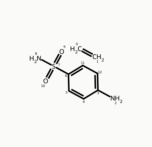 C=C.Nc1ccc(S(N)(=O)=O)cc1